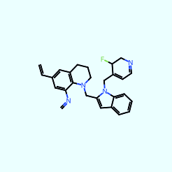 C=Cc1cc2c(c(N=C)c1)N(Cc1cc3ccccc3n1CC1=CC=NCC1F)CCC2